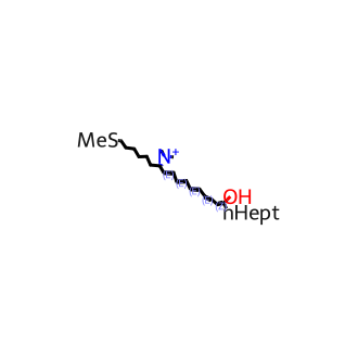 CCCCCCC/C(O)=C/C=C/C=C/C=C/C=C/C(CCCCCCSC)=[N+](C)C